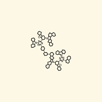 c1cc(-c2ccc(-c3nc(-c4cc(-n5c6cc7ccccc7cc6c6c7ccccc7ccc65)cc5c4oc4ccccc45)nc(-n4c5ccccc5c5ccccc54)n3)cc2)cc(-c2cccc3cc4c(cc23)c2cc3ccccc3cc2n4-c2cc(-c3nc(-c4cccc5ccccc45)nc(-n4c5ccccc5c5ccccc54)n3)c3oc4ccccc4c3c2)c1